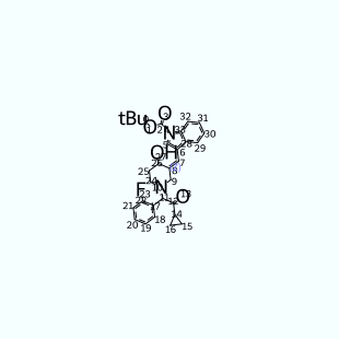 CC(C)(C)OC(=O)n1cc(/C=C2/CN(C(C(=O)C3CC3)c3ccccc3F)CCC2O)c2ccccc21